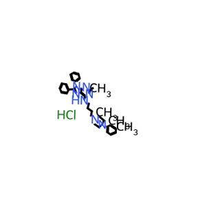 Cc1nc(NCCCCN2CCN(c3cccc(C)c3C)C[C@@H]2C)c2nc(-c3ccccc3)n(-c3ccccc3)c2n1.Cl